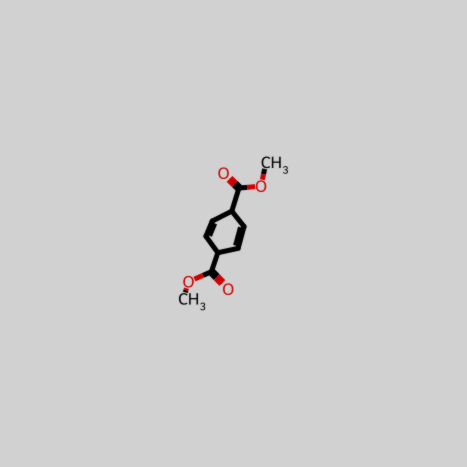 COC(=O)C1C=CC(C(=O)OC)C=C1